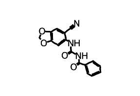 N#Cc1cc2c(cc1NC(=O)NC(=O)c1ccccc1)OCO2